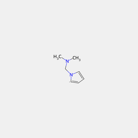 CN(C)Cn1[c]ccc1